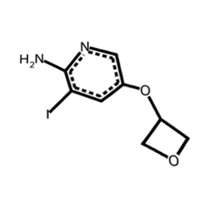 Nc1ncc(OC2COC2)cc1I